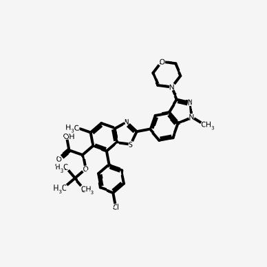 Cc1cc2nc(-c3ccc4c(c3)c(N3CCOCC3)nn4C)sc2c(-c2ccc(Cl)cc2)c1C(OC(C)(C)C)C(=O)O